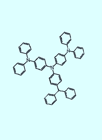 c1ccc(C(c2ccccc2)c2ccc(N(c3ccc(N(c4ccccc4)c4ccccc4)cc3)c3ccc(N(c4ccccc4)c4ccccc4)cc3)cc2)cc1